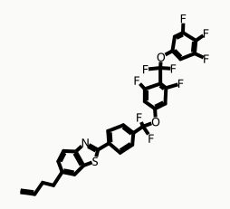 C=CCCc1ccc2nc(-c3ccc(C(F)(F)Oc4cc(F)c(C(F)(F)Oc5cc(F)c(F)c(F)c5)c(F)c4)cc3)sc2c1